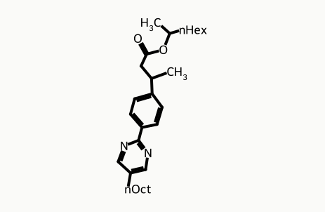 CCCCCCCCc1cnc(-c2ccc(C(C)CC(=O)OC(C)CCCCCC)cc2)nc1